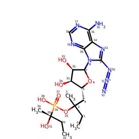 CCC(C)(C[C@H]1OC(n2c(N=[N+]=[N-])nc3c(N)ncnc32)[C@H](O)[C@@H]1O)OP(=O)(O)[C@@](C)(O)CC